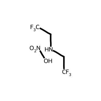 FC(F)(F)CNCC(F)(F)F.O=[N+]([O-])O